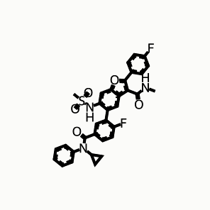 CNC(=O)c1c(-c2ccc(F)cc2)oc2cc(NS(C)(=O)=O)c(-c3cc(C(=O)N(c4ccccc4)C4CC4)ccc3F)cc12